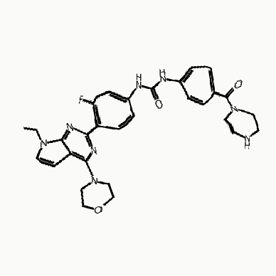 CCn1ccc2c(N3CCOCC3)nc(-c3ccc(NC(=O)Nc4ccc(C(=O)N5CCNCC5)cc4)cc3F)nc21